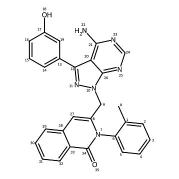 Cc1ccccc1-n1c(Cn2nc(-c3cccc(O)c3)c3c(N)ncnc32)cc2ccccc2c1=O